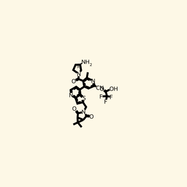 Cc1nc(C#N)cc(-c2ccnc3cc(CN4C(=O)C5C(C4=O)C5(C)C)sc23)c1C(=O)N1CC[C@@H](N)C1.O=C(O)C(F)(F)F